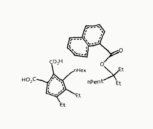 CCCCCC(CC)(CC)OC(=O)c1cccc2ccccc12.CCCCCCc1c(CC)c(CC)cc(C(=O)O)c1C(=O)O